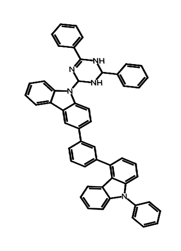 c1ccc(C2=NC(n3c4ccccc4c4cc(-c5cccc(-c6cccc7c6c6ccccc6n7-c6ccccc6)c5)ccc43)NC(c3ccccc3)N2)cc1